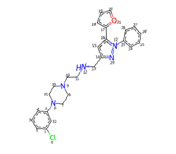 Clc1cccc(N2CCN(CCNCc3cc(-c4ccco4)n(-c4ccccc4)n3)CC2)c1